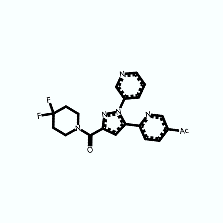 CC(=O)c1ccc(-c2cc(C(=O)N3CCC(F)(F)CC3)nn2-c2cccnc2)nc1